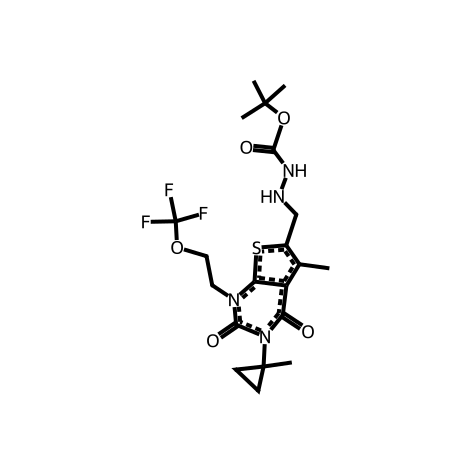 Cc1c(CNNC(=O)OC(C)(C)C)sc2c1c(=O)n(C1(C)CC1)c(=O)n2CCOC(F)(F)F